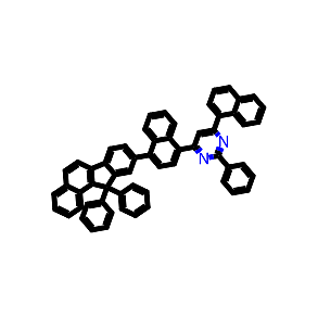 c1ccc(-c2nc(-c3cccc4ccccc34)cc(-c3ccc(-c4ccc5c(c4)C(c4ccccc4)(c4ccccc4)c4c-5ccc5ccccc45)c4ccccc34)n2)cc1